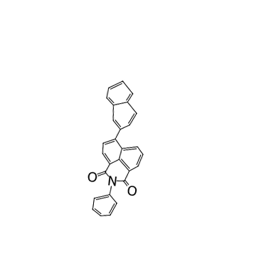 O=C1c2cccc3c(-c4ccc5ccccc5c4)ccc(c23)C(=O)N1c1ccccc1